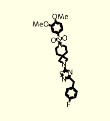 COc1ccc(S(=O)(=O)N2CCC3(CC2)CN(c2nc(Cc4ccc(F)cc4)ns2)C3)cc1OC